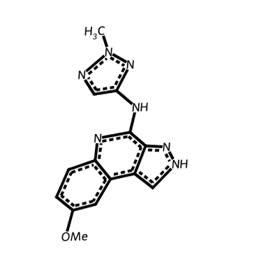 COc1ccc2nc(Nc3cnn(C)n3)c3n[nH]cc3c2c1